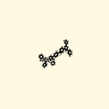 C1=CC2Oc3c(C4=NC(c5ccccc5)NC(c5ccccc5)=N4)ccc(-c4ccc(-c5ccc(-c6cc(-c7cccnc7)cc(-c7cccnc7)c6)cc5)cc4)c3OC2C=C1